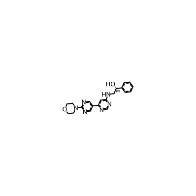 O[C@@H](CNc1cc(-c2cnc(N3CCOCC3)nc2)ncn1)c1ccccc1